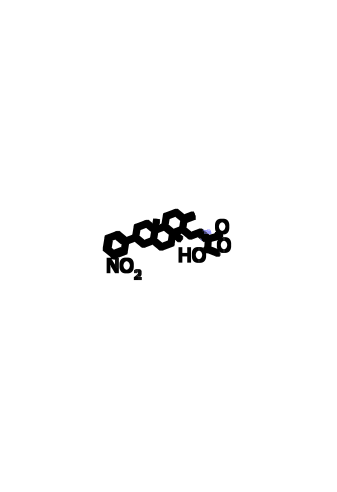 C=C1CCC2C3(C)CCC(c4cccc([N+](=O)[O-])c4)CC3CCC2(C)C1C/C=C1/C(=O)OCC1O